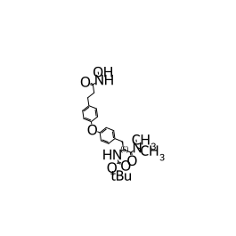 CN(C)C(=O)[C@H](Cc1ccc(Oc2ccc(CCC(=O)NO)cc2)cc1)NC(=O)OC(C)(C)C